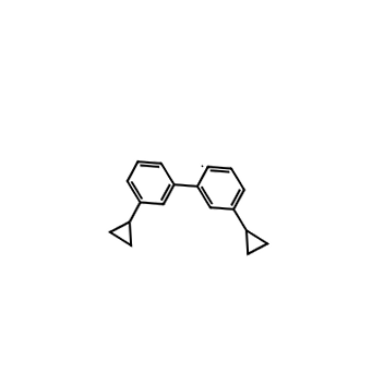 [c]1ccc(C2CC2)cc1-c1cccc(C2CC2)c1